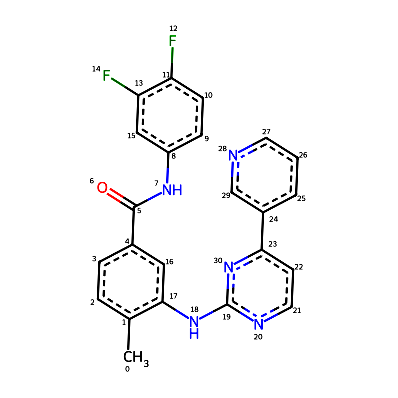 Cc1ccc(C(=O)Nc2ccc(F)c(F)c2)cc1Nc1nccc(-c2cccnc2)n1